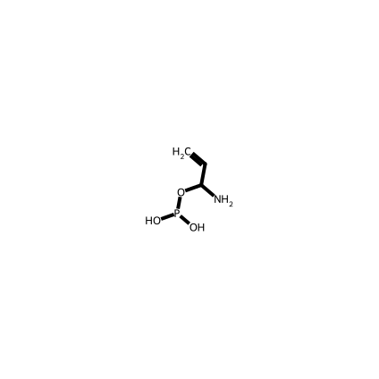 C=CC(N)OP(O)O